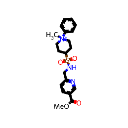 COC(=O)c1ccc(CNS(=O)(=O)C2CC[N+](C)(c3ccccc3)CC2)nc1